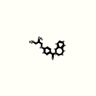 C=C(CN)COc1ccc(C(=O)N2CCCc3ccccc3C2)cc1